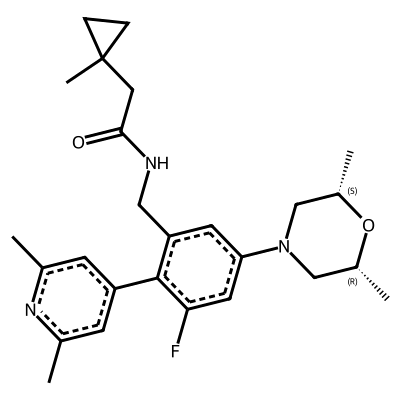 Cc1cc(-c2c(F)cc(N3C[C@@H](C)O[C@@H](C)C3)cc2CNC(=O)CC2(C)CC2)cc(C)n1